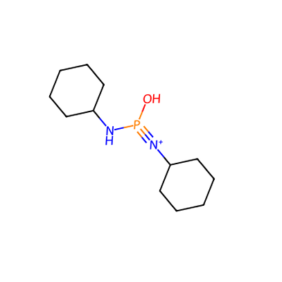 OP(#[N+]C1CCCCC1)NC1CCCCC1